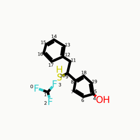 FC(F)F.Oc1ccc(C(S)Cc2ccccc2)cc1